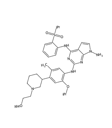 COCCN1CCCC(c2cc(OC(C)C)c(Nc3nc(Nc4ccccc4S(=O)(=O)C(C)C)c4ccn(N)c4n3)cc2C)C1